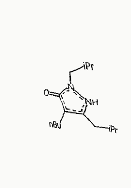 CCCCc1c(CC(C)C)[nH]n(CC(C)C)c1=O